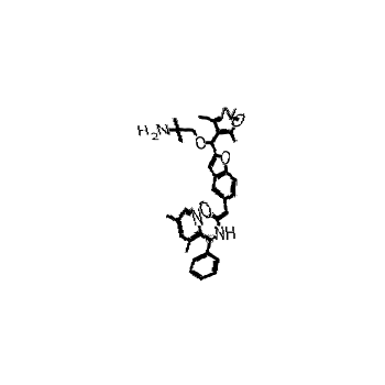 Cc1cnc([C@@H](NC(=O)Cc2ccc3oc(C(OCC(C)(C)N)c4c(C)noc4C)cc3c2)c2ccccc2)c(C)c1